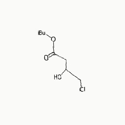 CCC(C)OC(=O)CC(O)CCl